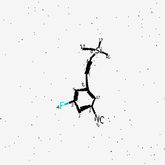 [C-]#[N+]c1cc(F)cc(C#C[Si](C)(C)C)c1